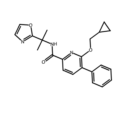 CC(C)(NC(=O)c1ccc(-c2ccccc2)c(OCC2CC2)n1)c1ncco1